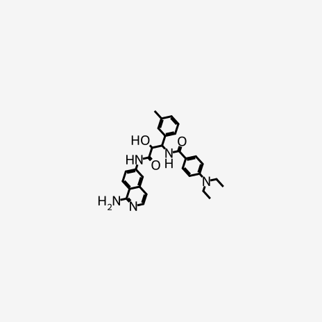 CCN(CC)c1ccc(C(=O)NC(c2cccc(C)c2)C(O)C(=O)Nc2ccc3c(N)nccc3c2)cc1